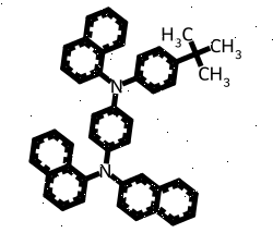 CC(C)(C)c1ccc(N(c2ccc(N(c3ccc4ccccc4c3)c3cccc4ccccc34)cc2)c2cccc3ccccc23)cc1